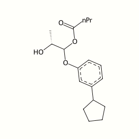 CCCC(=O)OC(Oc1cccc(C2CCCC2)c1)[C@@H](C)O